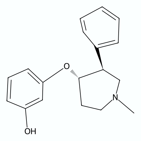 CN1CC[C@H](Oc2cccc(O)c2)[C@@H](c2ccccc2)C1